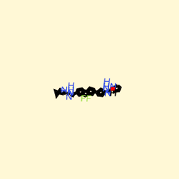 FC1(F)c2cc(-c3ccc4nc([C@H]5NC6CC[C@H]5C6)[nH]c4c3)ccc2-c2ccc(-c3cnc([C@@H]4CC5(CC5)CN4)[nH]3)cc21